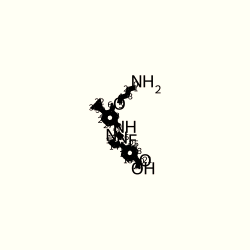 NCCCCOCc1cc(Nc2nccc(-c3ccc(C(=O)O)cc3F)n2)ccc1C1CC1